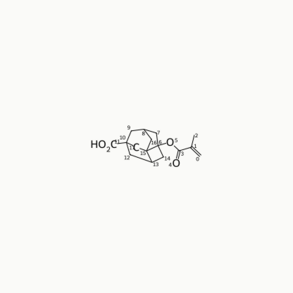 C=C(C)C(=O)OC12CC3CC4(C(=O)O)CC(C1)C2(C3)C4